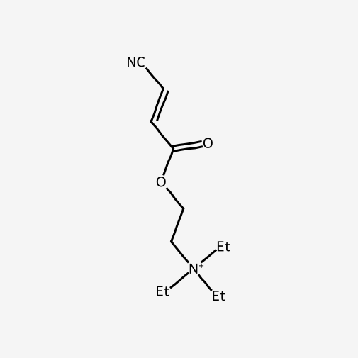 CC[N+](CC)(CC)CCOC(=O)C=CC#N